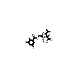 CC(C)C(OC(=O)COC(=O)c1cc(I)cc(I)c1I)C(F)(F)C(=O)O